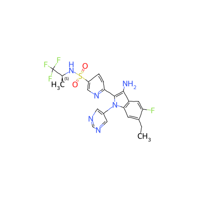 CCc1cc2c(cc1F)c(N)c(-c1ccc(S(=O)(=O)N[C@@H](C)C(F)(F)F)cn1)n2-c1cncnc1